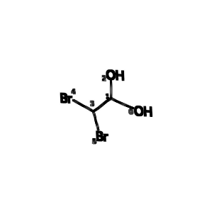 OC(O)C(Br)Br